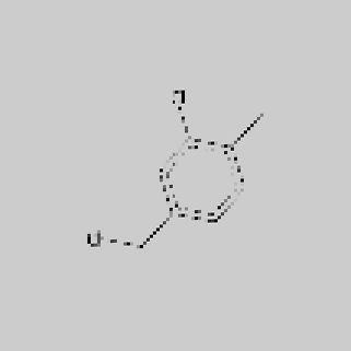 Cc1ccc(CCl)cc1Cl